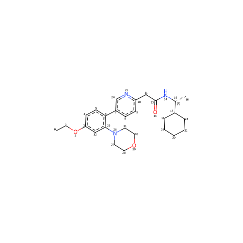 CCOc1ccc(-c2ccc(CC(=O)N[C@H](C)C3CCCCC3)nc2)c(N2CCOCC2)c1